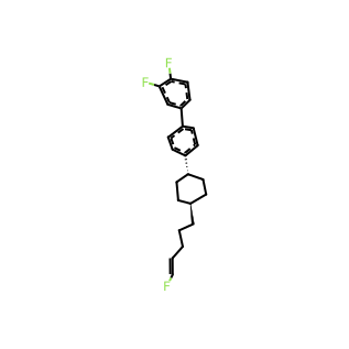 FC=CCCC[C@H]1CC[C@H](c2ccc(-c3ccc(F)c(F)c3)cc2)CC1